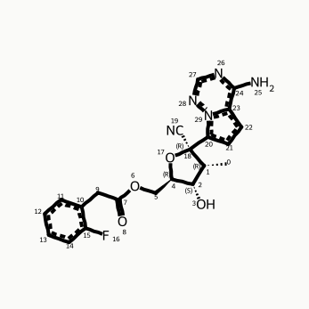 C[C@@H]1[C@H](O)[C@@H](COC(=O)Cc2ccccc2F)O[C@@]1(C#N)c1ccc2c(N)ncnn12